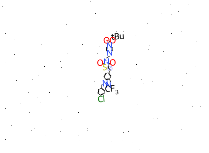 CC(C)(C)OC(=O)N1CCN(CCN2C(=O)S/C(=C\c3ccc4c(cnn4Cc4ccc(Cl)cc4C(F)(F)F)c3)C2=O)CC1